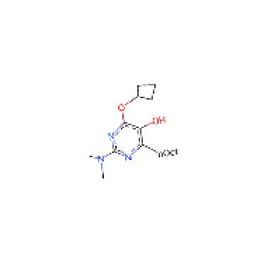 CCCCCCCCc1nc(N(C)C)nc(OC2CCC2)c1O